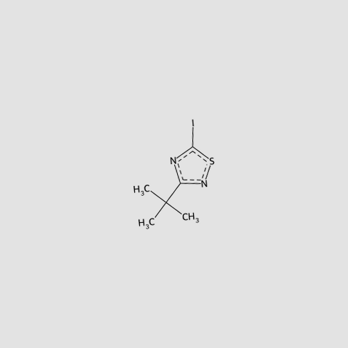 CC(C)(C)c1nsc(I)n1